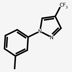 Cc1cccc(-n2cc(C(F)(F)F)cn2)c1